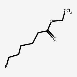 O=C(CCCCCBr)OCC(Cl)(Cl)Cl